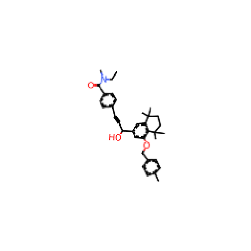 CCN(C)C(=O)c1ccc(C#CC(O)c2cc(OCc3ccc(C)cc3)c3c(c2)C(C)(C)CCC3(C)C)cc1